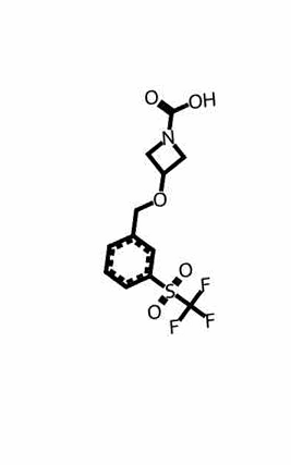 O=C(O)N1CC(OCc2cccc(S(=O)(=O)C(F)(F)F)c2)C1